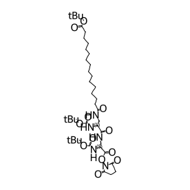 CC(C)(C)OC(=O)CCCCCCCCCCCCCCC(=O)NC[C@H](NC(=O)OC(C)(C)C)C(=O)NC[C@H](NC(=O)OC(C)(C)C)C(=O)ON1C(=O)CCC1=O